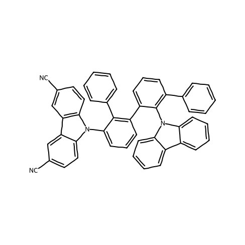 N#Cc1ccc2c(c1)c1cc(C#N)ccc1n2-c1cccc(-c2cccc(-c3ccccc3)c2-n2c3ccccc3c3ccccc32)c1-c1ccccc1